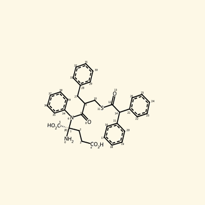 N[C@@](CCC(=O)O)(C(=O)O)N(C(=O)C(CSC(=O)C(c1ccccc1)c1ccccc1)Cc1ccccc1)c1ccccc1